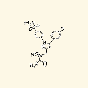 NC(=O)N(O)Cc1cc(-c2ccc(F)cc2)n(-c2ccc(S(N)(=O)=O)cc2)n1